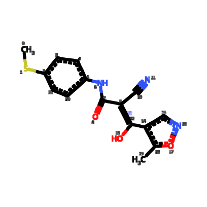 CSc1ccc(NC(=O)/C(C#N)=C(\O)c2cnoc2C)cc1